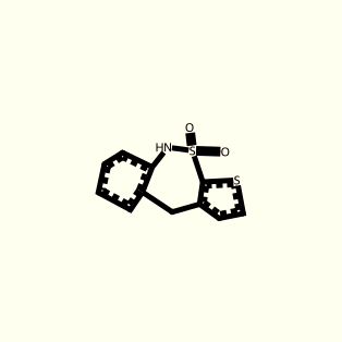 O=S1(=O)Nc2ccccc2Cc2ccsc21